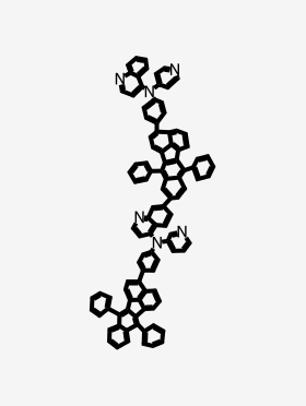 c1ccc(-c2c3c(c(-c4ccccc4)c4ccccc24)-c2ccc(-c4ccc(N(c5cccnc5)c5ccnc6cc(-c7ccc8c(-c9ccccc9)c9c(c(-c%10ccccc%10)c8c7)-c7ccc(-c8ccc(N(c%10ccncc%10)c%10ccnc%11ccccc%10%11)cc8)c8cccc-9c78)ccc56)cc4)c4cccc-3c24)cc1